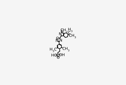 CC1=CC(c2noc(-c3nn(C)c4c3CCC(C)(C)C4)n2)=CC(C)C1CCP(=O)(O)O